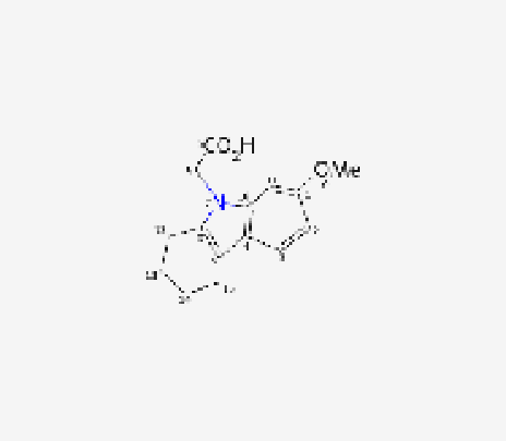 COc1ccc2c3c(n(CC(=O)O)c2c1)CCCC3